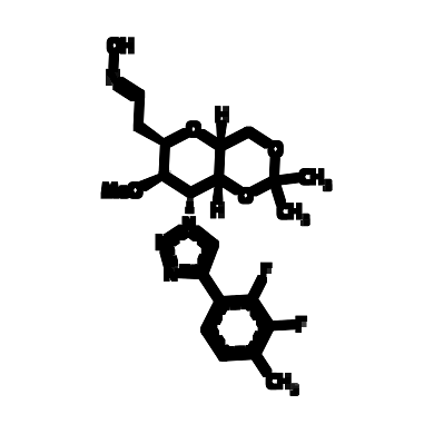 CO[C@@H]1[C@@H](n2cc(-c3ccc(C)c(F)c3F)nn2)[C@H]2OC(C)(C)OC[C@H]2O[C@@H]1CC=NO